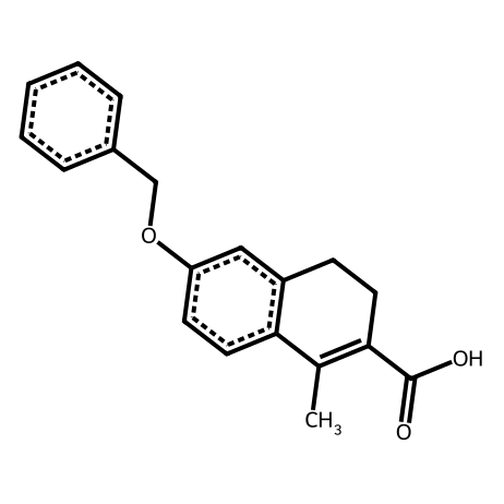 CC1=C(C(=O)O)CCc2cc(OCc3ccccc3)ccc21